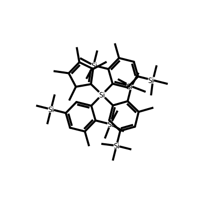 CC1=C(C)C(C)C([Si](c2cc([Si](C)(C)C)cc(C)c2[Si](C)(C)C)(c2cc([Si](C)(C)C)cc(C)c2[Si](C)(C)C)c2cc([Si](C)(C)C)cc(C)c2[Si](C)(C)C)=C1C